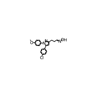 COc1ccc(-n2nc(CCC=NO)cc2-c2ccc(Cl)cc2)cc1